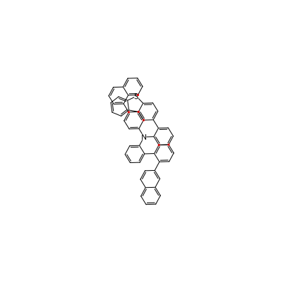 c1ccc(-c2ccccc2N(c2ccc(-c3cccc4ccccc34)cc2)c2ccccc2-c2ccc3sc4ccccc4c3c2)c(-c2ccc3ccccc3c2)c1